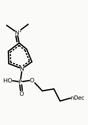 CCCCCCCCCCCCCOP(=O)(O)n1ccc(=[N+](C)C)cc1